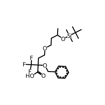 CC(CCOCCC(OCc1ccccc1)(C(=O)O)C(F)(F)F)O[Si](C)(C)C(C)(C)C